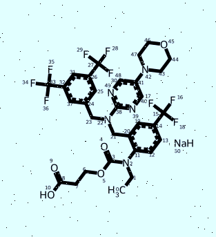 CCN(C(=O)OCCC(=O)O)c1ccc(C(F)(F)F)cc1CN(Cc1cc(C(F)(F)F)cc(C(F)(F)F)c1)c1ncc(N2CCOCC2)cn1.[NaH]